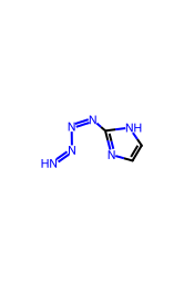 N=N/N=N\c1ncc[nH]1